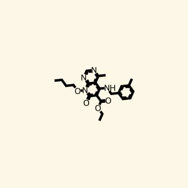 CCCCOn1c(=O)c(C(=O)OCC)c(NCc2cccc(C)c2)c2c(C)ncnc21